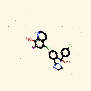 OC1(c2ccc(Cl)cc2)c2ccccc2C2=NCCN21.Oc1c(I)cc(Cl)c2cccnc12